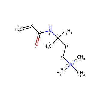 C=CC(=O)NC(C)(C)CC[N+](C)(C)C